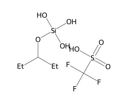 CCC(CC)O[Si](O)(O)O.O=S(=O)(O)C(F)(F)F